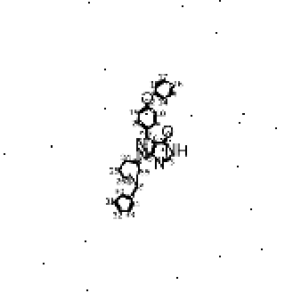 O=c1[nH]cnc2c1c(-c1ccc(Oc3ccccc3)cc1)nn2C1CCCN(Cc2ccccc2)C1